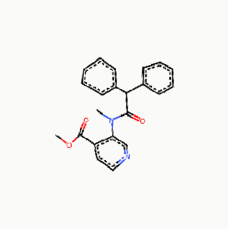 COC(=O)c1ccncc1N(C)C(=O)C(c1ccccc1)c1ccccc1